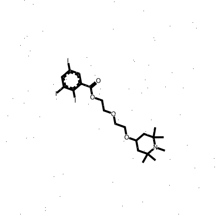 CN1C(C)(C)CC(OCCOCCOC(=O)c2cc(I)cc(I)c2I)CC1(C)C